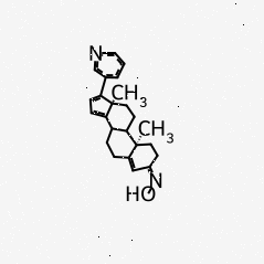 C[C@]12CCC3C(CCC4=C/C(=N\O)CC[C@@]43C)C1=CC=C2c1cccnc1